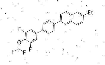 CCc1ccc2cc(-c3ccc(-c4cc(F)c(OC(F)F)c(F)c4)cc3)ccc2c1